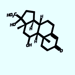 C[C@]12CCC(=O)C=C1CC[C@@H]1[C@H]2C(O)C[C@@]2(C)[C@H]1CCC2(O)C(=O)O